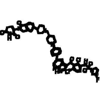 O=C1CCC(N2Cc3cc(C4CCN(CC5CCN(c6ccc(-c7cnc8[nH]cc(C(=O)c9c(Cl)ccc(NS(=O)(=O)N%10CC[C@@H](F)C%10)c9Cl)c8c7)cc6)CC5)CC4)ccc3C2=O)C(=O)N1